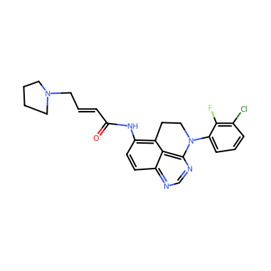 O=C(/C=C/CN1CCCC1)Nc1ccc2ncnc3c2c1CCN3c1cccc(Cl)c1F